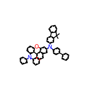 CC1(C)c2ccccc2-c2ccc(N(c3ccc(-c4ccccc4)cc3)c3cc4c5c(cccc5c3)-c3c(cccc3N(c3ccccc3)c3ccccc3)O4)cc21